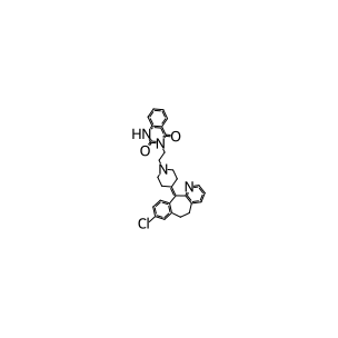 O=c1[nH]c2ccccc2c(=O)n1CCN1CCC(=C2c3ccc(Cl)cc3CCc3cccnc32)CC1